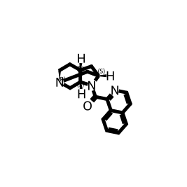 O=C(c1nccc2ccccc12)N1[C@H]2C[C@H]3CC[N@@](C2)C[C@H]31